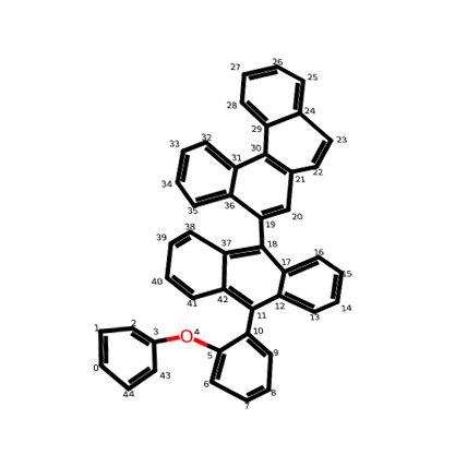 c1ccc(Oc2ccccc2-c2c3ccccc3c(-c3cc4ccc5ccccc5c4c4ccccc34)c3ccccc23)cc1